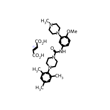 COc1ccc(NC(=O)N2CCN(c3c(C)cc(C)cc3C)CC2)cc1N1CCN(C)CC1.O=C(O)/C=C/C(=O)O